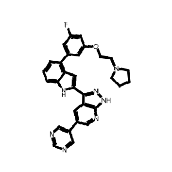 Fc1cc(OCCN2CCCC2)cc(-c2cccc3[nH]c(-c4n[nH]c5ncc(-c6cncnc6)cc45)cc23)c1